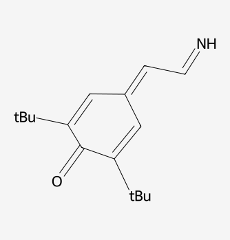 CC(C)(C)C1=CC(=CC=N)C=C(C(C)(C)C)C1=O